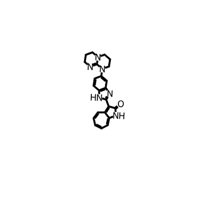 O=c1[nH]c2cccccc-2c1-c1nc2cc(N3CCCN4CCCN=C43)ccc2[nH]1